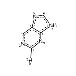 [2H]c1ncc2nc[nH]c2n1